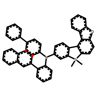 C[Si]1(C)c2cc(N(c3ccc(-c4ccccc4)cc3)c3ccccc3-c3ccc4ccccc4c3)ccc2-c2c1ccc1oc3ccccc3c21